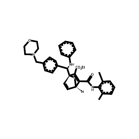 CCOC(=O)C1=C(C(=O)Nc2c(C)cccc2C)[C@H]2C=C[C@]1([C@@H](Nc1ccccc1)c1ccc(CN3CCOCC3)cc1)O2